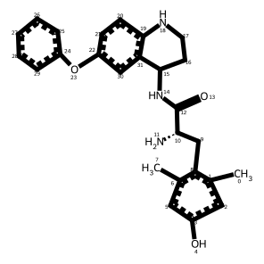 Cc1cc(O)cc(C)c1C[C@H](N)C(=O)NC1CCNc2ccc(Oc3ccccc3)cc21